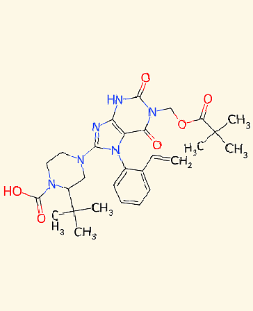 C=Cc1ccccc1-n1c(N2CCN(C(=O)O)C(C(C)(C)C)C2)nc2[nH]c(=O)n(COC(=O)C(C)(C)C)c(=O)c21